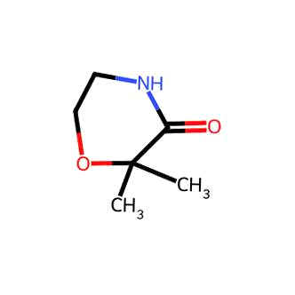 CC1(C)OCCNC1=O